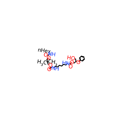 CCCCCCNC(=O)OCC(C)(C)COC(=O)NCCCCCCNC(=O)OCC(CO)Oc1ccccc1